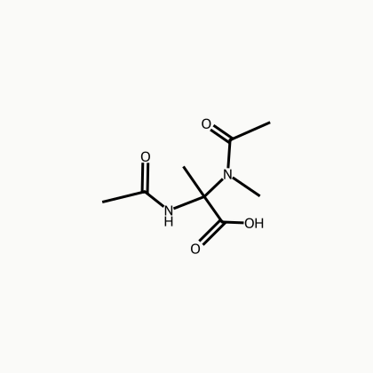 CC(=O)NC(C)(C(=O)O)N(C)C(C)=O